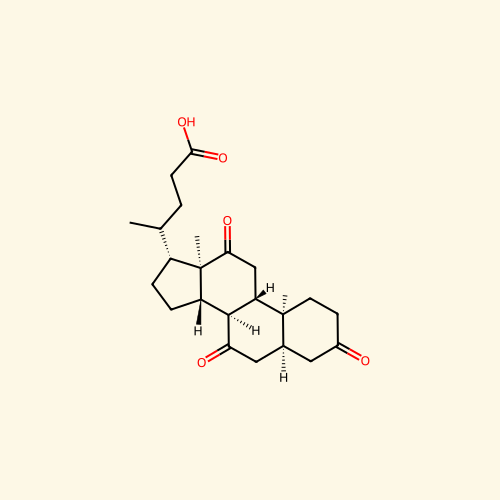 CC(CCC(=O)O)[C@H]1CC[C@H]2[C@@H]3C(=O)C[C@@H]4CC(=O)CC[C@]4(C)[C@H]3CC(=O)[C@]12C